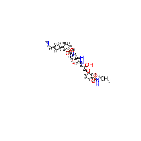 CCNS(=O)(=O)c1cccc(OC[C@@H](O)CNC2COC3(CCN(S(=O)(=O)c4cccc(-c5ccc(CC#N)cc5)c4)CC3)C2)c1